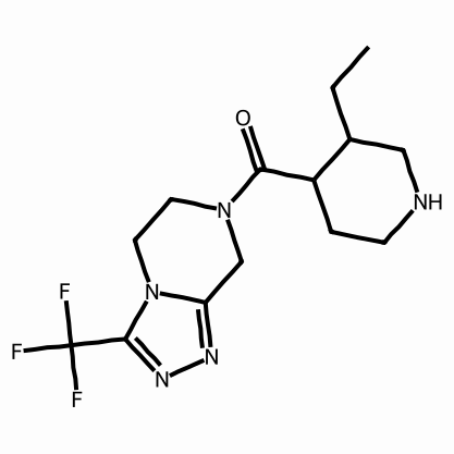 CCC1CNCCC1C(=O)N1CCn2c(nnc2C(F)(F)F)C1